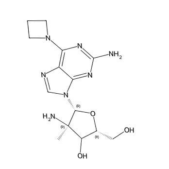 C[C@@]1(N)C(O)[C@@H](CO)O[C@H]1n1cnc2c(N3CCC3)nc(N)nc21